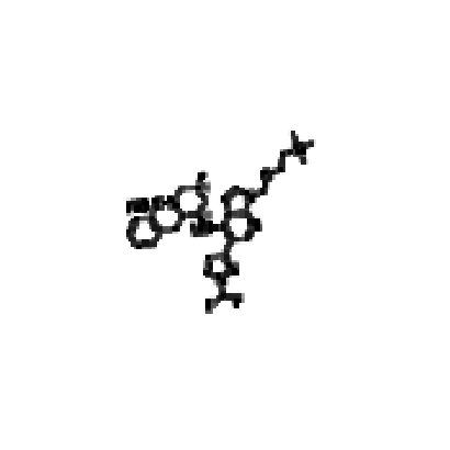 C[C@H]1C[C@@H](Nc2c(-c3ccn(C(F)F)n3)cnc3c2ccn3COCC[Si](C)(C)C)C(Cc2ccccc2)N(C(=O)O)C1